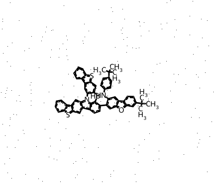 CC(C)(C)c1ccc(Nc2cc3c(cc2-c2ccc4c5cc6sc7ccccc7c6cc5n5c4c2Bc2cc4sc6ccccc6c4cc2-5)oc2cc(C(C)(C)C)ccc23)cc1